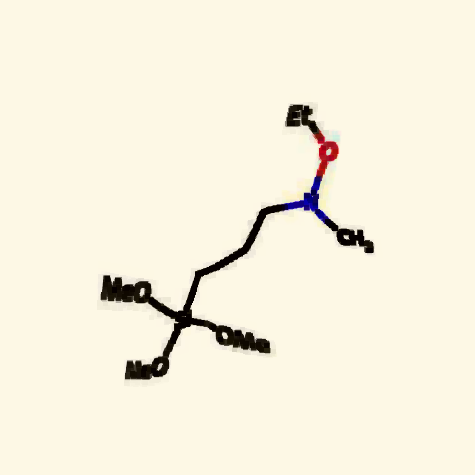 CCON(C)CCC[Si](OC)(OC)OC